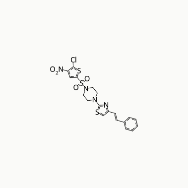 O=[N+]([O-])c1cc(S(=O)(=O)N2CCN(c3nc(C=Cc4ccccc4)cs3)CC2)sc1Cl